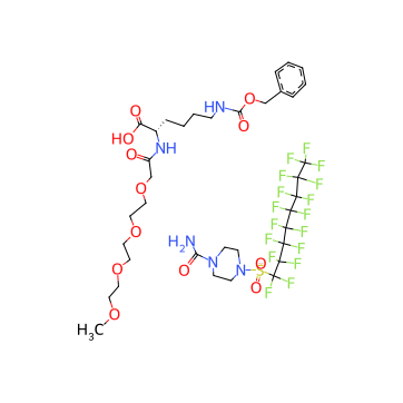 COCCOCCOCCOCC(=O)N[C@@H](CCCCNC(=O)OCc1ccccc1)C(=O)O.NC(=O)N1CCN(S(=O)(=O)C(F)(F)C(F)(F)C(F)(F)C(F)(F)C(F)(F)C(F)(F)C(F)(F)C(F)(F)F)CC1